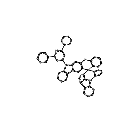 c1ccc(-c2cc(-n3c4ccccc4c4cc5c(cc43)Sc3ccccc3C53c4ccccc4-n4c5ccccc5c5cccc3c54)cc(-c3ccccc3)n2)cc1